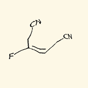 N#C/C=C(/F)C#N